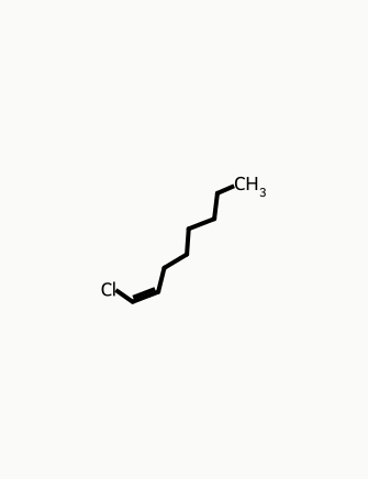 CCCCCC/C=C\Cl